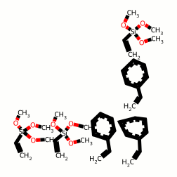 C=C[Si](OC)(OC)OC.C=C[Si](OC)(OC)OC.C=C[Si](OC)(OC)OC.C=Cc1ccccc1.C=Cc1ccccc1.C=Cc1ccccc1